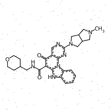 CN1CC2CN(c3ncc4c(=O)c(C(=O)NCC5CCOCC5)c5[nH]c6ccccc6n5c4n3)CC2C1